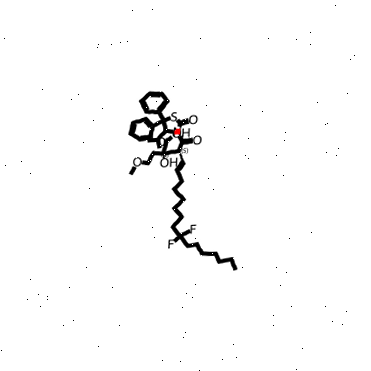 CCCCCCCC(F)(F)CCCCCCC=C[C@H](C(=O)N1C(=O)SC(c2ccccc2)(c2ccccc2)C1C(C)C)[C@@](O)(CCOC)C(=O)O